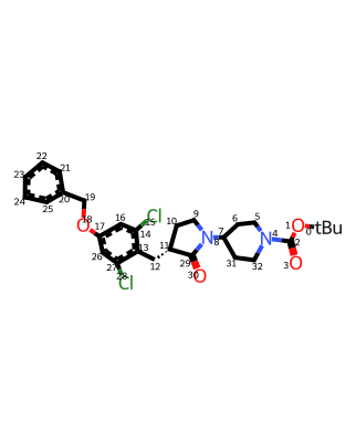 CC(C)(C)OC(=O)N1CCC(N2CC[C@@H](Cc3c(Cl)cc(OCc4ccccc4)cc3Cl)C2=O)CC1